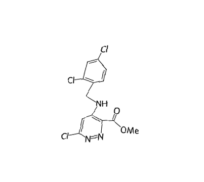 COC(=O)c1nnc(Cl)cc1NCc1ccc(Cl)cc1Cl